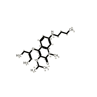 CC=C(CC)Oc1c(OC(C)C)c(=O)n(C)c2cc(NCCCC)ccc12